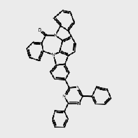 O=c1c2ccccc2n2c3ccc(-c4nc(-c5ccccc5)nc(-c5ccccc5)n4)cc3c3ccc4c5ccccc5n1c4c32